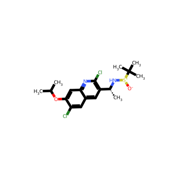 CC(C)Oc1cc2nc(Cl)c([C@@H](C)N[S+]([O-])C(C)(C)C)cc2cc1Cl